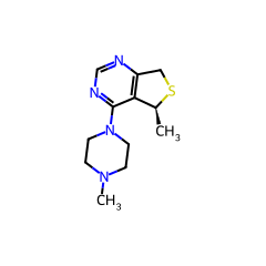 C[C@@H]1SCc2ncnc(N3CCN(C)CC3)c21